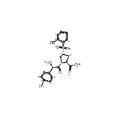 N[C@@H](C(=O)N1C[C@H](S(=O)(=O)c2ccccc2Cl)C[C@H]1C(=O)O)c1ccc(Cl)cc1